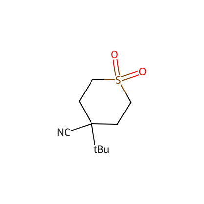 CC(C)(C)C1(C#N)CCS(=O)(=O)CC1